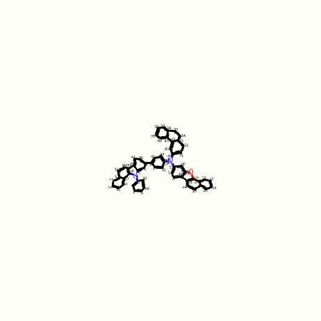 c1ccc(-n2c3cc(-c4ccc(N(c5ccc6c(c5)oc5c7ccccc7ccc65)c5ccc6ccc7ccccc7c6c5)cc4)ccc3c3ccc4ccccc4c32)cc1